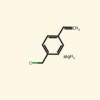 C=Cc1ccc(CCl)cc1.[MgH2]